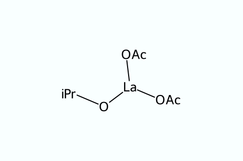 CC(=O)[O][La]([O]C(C)=O)[O]C(C)C